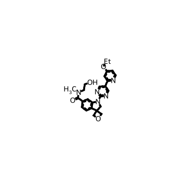 CCOc1ccnc(-c2cnc(N3CC4(COC4)c4ccc(C(=O)N(C)CCO)cc43)nc2)c1